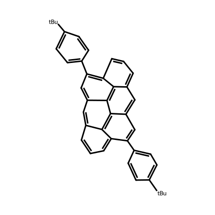 CC(C)(C)c1ccc(-c2cc3cc4cccc5c(-c6ccc(C(C)(C)C)cc6)cc6cc7cccc2c7c3c6c45)cc1